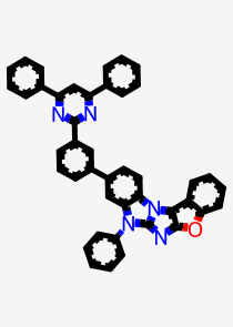 c1ccc(-c2cc(-c3ccccc3)nc(-c3cccc(-c4ccc5c(c4)n(-c4ccccc4)c4nc6oc7ccccc7c6n54)c3)n2)cc1